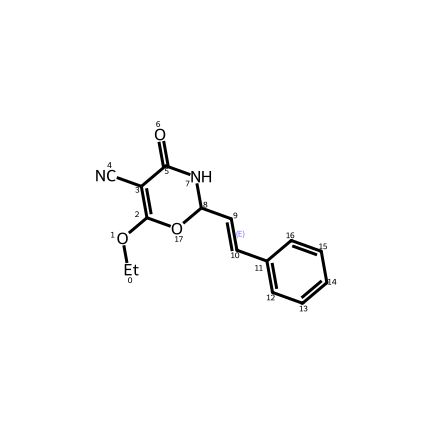 CCOC1=C(C#N)C(=O)NC(/C=C/c2ccccc2)O1